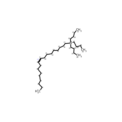 CCCCCCCC/C=C\CCCCCCCC[N+](CCCC)(CCCC)CCCC